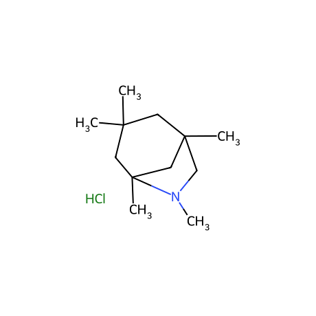 CN1CC2(C)CC(C)(C)CC1(C)C2.Cl